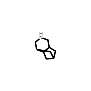 C1NCC2CC3CC1C2C3